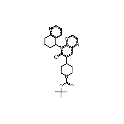 CC(C)(C)OC(=O)N1CCC(c2cc3nccnc3n(C3CCCc4ncccc43)c2=O)CC1